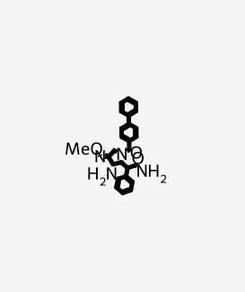 CON=C1CC(C(C(N)=O)c2ccccc2N)N(C(=O)c2ccc(-c3ccccc3)cc2)C1